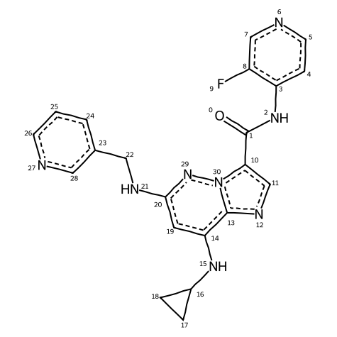 O=C(Nc1ccncc1F)c1cnc2c(NC3CC3)cc(NCc3cccnc3)nn12